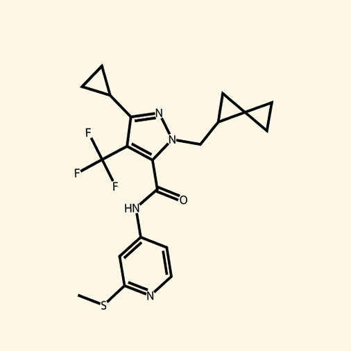 CSc1cc(NC(=O)c2c(C(F)(F)F)c(C3CC3)nn2CC2CC23CC3)ccn1